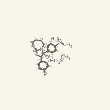 CN(C)c1ccc(C2(O)C(c3ccc(F)cc3)SC3=NCCCCN32)cc1.CS(=O)(=O)O